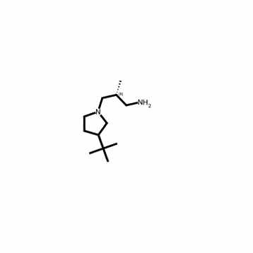 C[C@H](CN)CN1CCC(C(C)(C)C)C1